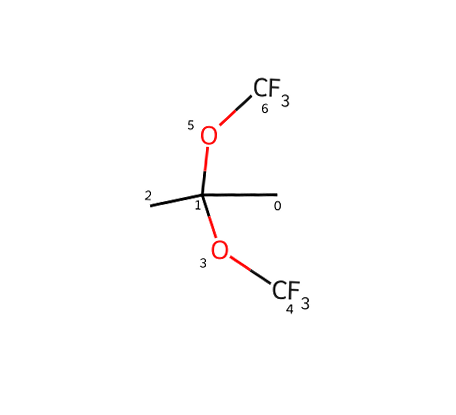 CC(C)(OC(F)(F)F)OC(F)(F)F